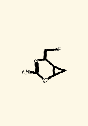 NC1=NC(CF)C2C[C]2O1